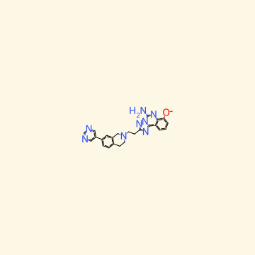 COc1cccc2c1nc(N)n1nc(CCN3CCc4ccc(-c5cncnc5)cc4C3)nc21